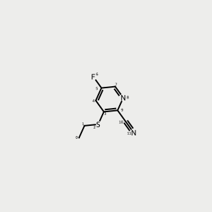 CCSc1cc(F)cnc1C#N